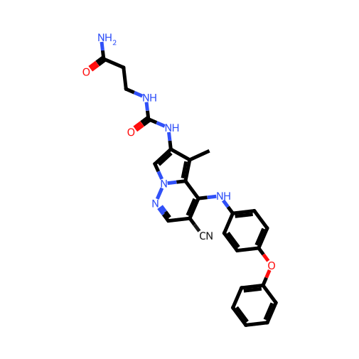 Cc1c(NC(=O)NCCC(N)=O)cn2ncc(C#N)c(Nc3ccc(Oc4ccccc4)cc3)c12